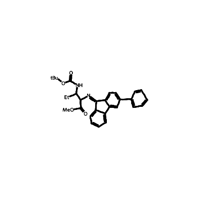 CCC(NC(=O)OC(C)(C)C)C(N=C1c2ccccc2-c2cc(-c3ccccc3)ccc21)C(=O)OC